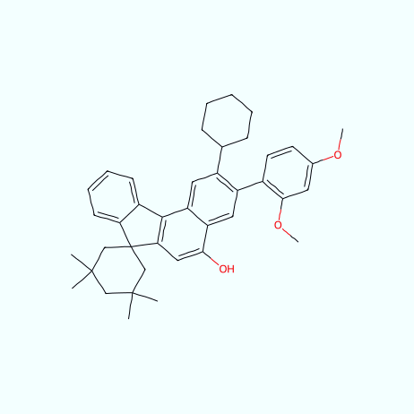 COc1ccc(-c2cc3c(O)cc4c(c3cc2C2CCCCC2)-c2ccccc2C42CC(C)(C)CC(C)(C)C2)c(OC)c1